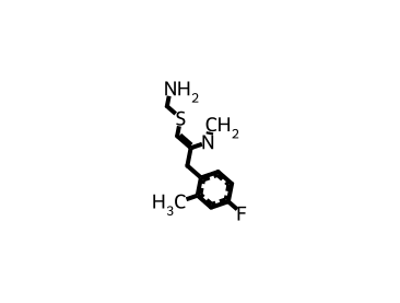 C=N/C(=C\SCN)Cc1ccc(F)cc1C